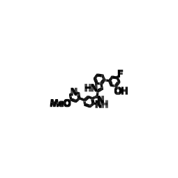 COc1cncc(-c2ccc3[nH]nc(-c4cc5c(-c6cc(O)cc(F)c6)cccc5[nH]4)c3c2)c1